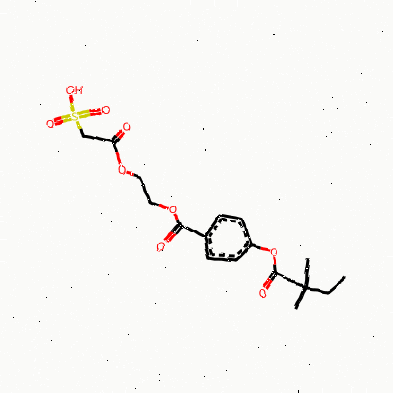 CCC(C)(C)C(=O)Oc1ccc(C(=O)OCCOC(=O)CS(=O)(=O)O)cc1